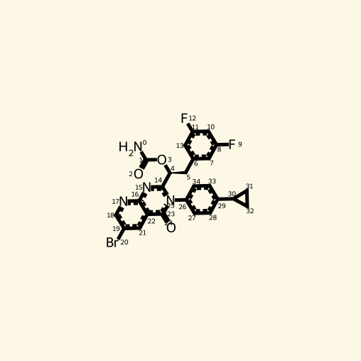 NC(=O)O[C@@H](Cc1cc(F)cc(F)c1)c1nc2ncc(Br)cc2c(=O)n1-c1ccc(C2CC2)cc1